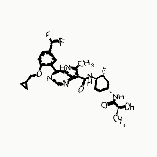 Cc1[nH]c2c(-c3cc(C(F)F)ccc3OCC3CC3)ncnc2c1C(=O)N[C@@H]1CC[C@@H](NC(=O)[C@H](C)O)C[C@H]1F